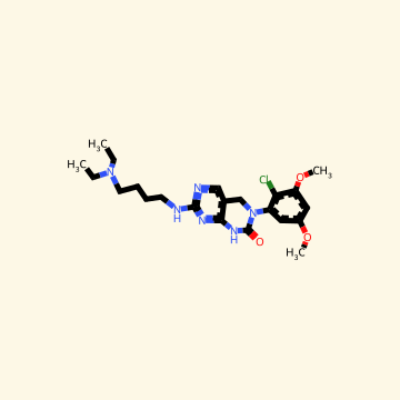 CCN(CC)CCCCNc1ncc2c(n1)NC(=O)N(c1cc(OC)cc(OC)c1Cl)C2